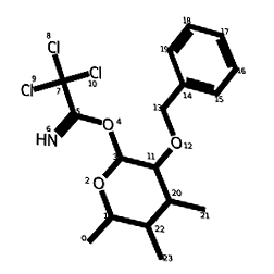 CC1OC(OC(=N)C(Cl)(Cl)Cl)C(OCc2ccccc2)C(C)C1C